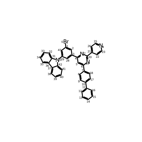 Brc1cc(-c2cc(-c3ccc(-c4ccccc4)cc3)nc(-c3ccncc3)n2)cc(-n2c3ccccc3c3ccccc32)c1